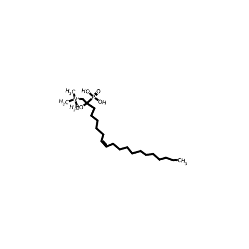 CCCCCCCCCCC/C=C\CCCCCC(O)(C[N+](C)(C)C)P(=O)(O)O